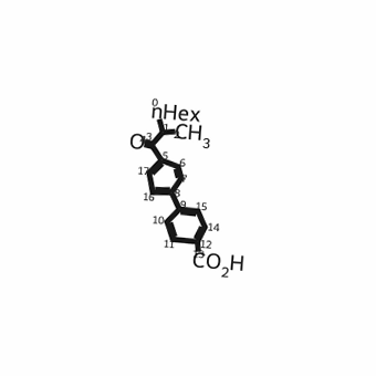 CCCCCCC(C)C(=O)c1ccc(-c2ccc(C(=O)O)cc2)cc1